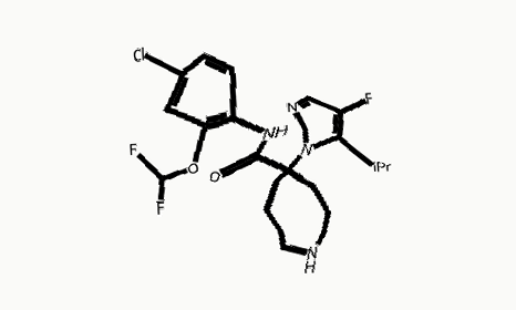 CC(C)c1c(F)cnn1C1(C(=O)Nc2ccc(Cl)cc2OC(F)F)CCNCC1